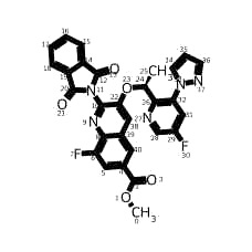 COC(=O)c1cc(F)c2nc(N3C(=O)c4ccccc4C3=O)c(O[C@@H](C)c3ncc(F)cc3-n3cccn3)cc2c1